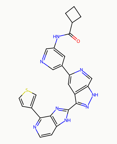 O=C(Nc1cncc(-c2cc3c(-c4nc5c(-c6ccsc6)nccc5[nH]4)n[nH]c3cn2)c1)C1CCC1